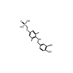 Cc1cc(OCP(=O)(O)O)cc(C)c1NCc1ccc(O)c(C(C)C)c1